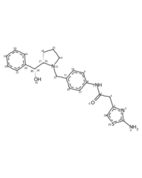 Nc1nc(CC(=O)Nc2ccc(CN3CCC[C@H]3[C@H](O)c3ccccc3)cc2)cs1